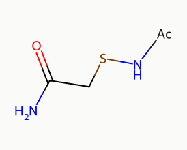 CC(=O)NSCC(N)=O